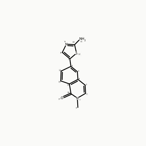 Cn1ccc2cc(-c3cnc(N)s3)ccc2c1=O